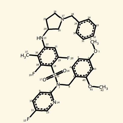 COc1ccc(CN(c2ccc(F)cn2)S(=O)(=O)c2c(F)cc(NC3CCN(Cc4ccccc4)C3)c(C)c2F)c(OC)c1